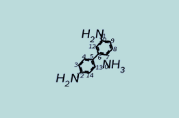 N.Nc1ccc(-c2cccc(N)c2)cc1